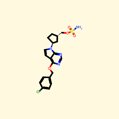 NS(=O)(=O)OC[C@H]1CC[C@H](n2ccc3c(OCc4ccc(Cl)cc4)ncnc32)C1